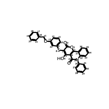 O=c1oc2c(c(O)c1Sc1cccc(OCc3ccccc3)c1)c(=O)n(-c1ccccc1)c1ccccc21